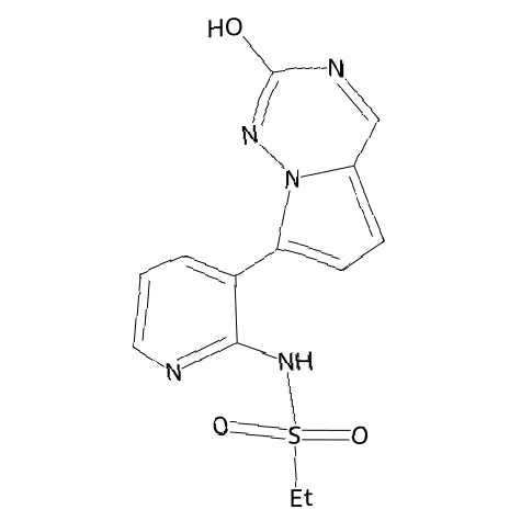 CCS(=O)(=O)Nc1ncccc1-c1ccc2cnc(O)nn12